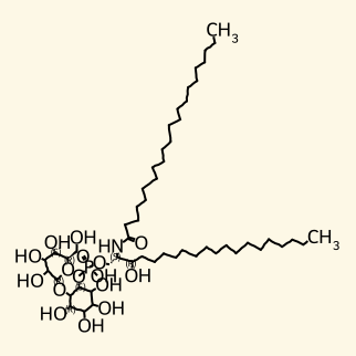 CCCCCCCCCCCCCCCCCCCCCC(=O)N[C@@H](COP(=O)(O)O[C@H]1C(O)C(O)C(O)[C@@H](O)C1O[C@H]1O[C@H](CO)[C@@H](O)C(O)C1O)[C@H](O)CCCCCCCCCCCCCCCCC